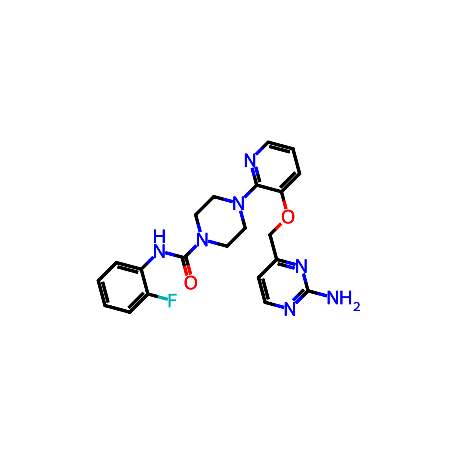 Nc1nccc(COc2cccnc2N2CCN(C(=O)Nc3ccccc3F)CC2)n1